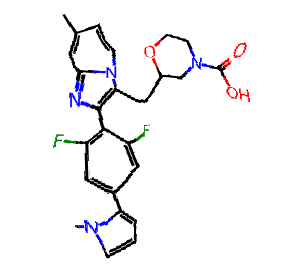 Cc1ccn2c(CC3CN(C(=O)O)CCO3)c(-c3c(F)cc(-c4cccn4C)cc3F)nc2c1